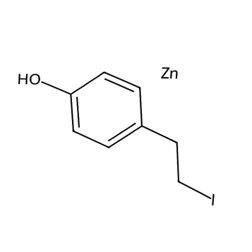 Oc1ccc(CCI)cc1.[Zn]